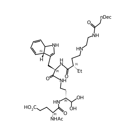 CCCCCCCCCCCC(=O)NCCNCC[C@H](CC)C(=O)N[C@H](CC1=CNC2C=CC=C[C@@H]12)C(=O)NCC[C@@H](NC(=O)[C@@H](CCC(=O)O)NC(C)=O)C(O)O